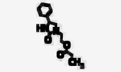 CCC(=O)OCCN1CC(c2ccccc2)NC1=O